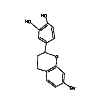 Oc1ccc2c(c1)OC(c1ccc(O)c(O)c1)CC2